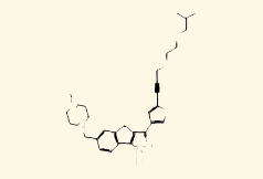 CC(C)COCCOCC#Cc1cc(-c2n[nH]c3c2Cc2cc(CN4CCN(C)CC4)ccc2-3)cs1